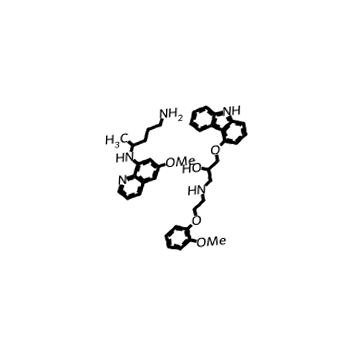 COc1cc(NC(C)CCCN)c2ncccc2c1.COc1ccccc1OCCNCC(O)COc1cccc2[nH]c3ccccc3c12